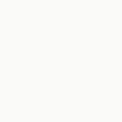 C.[S]=[V](=[S])=[S]